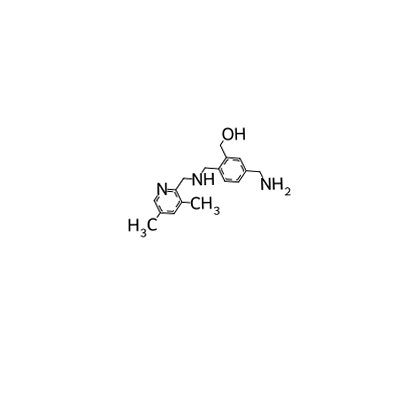 Cc1cnc(CNCc2ccc(CN)cc2CO)c(C)c1